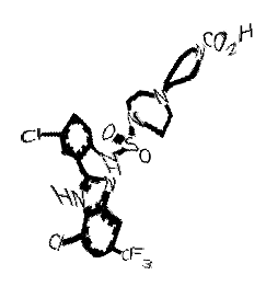 O=C(O)N1CC(N2CCN(S(=O)(=O)Nc3ccc(Cl)cc3-c3nc4cc(C(F)(F)F)cc(Cl)c4[nH]3)CC2)C1